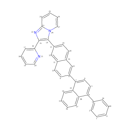 c1ccc(-c2ccc(-c3ccc4cc(-c5c(-c6ccccn6)nc6ccccn56)ccc4c3)c3ccccc23)cc1